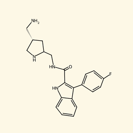 NC[C@H]1CNC(CNC(=O)c2[nH]c3ccccc3c2-c2ccc(F)cc2)C1